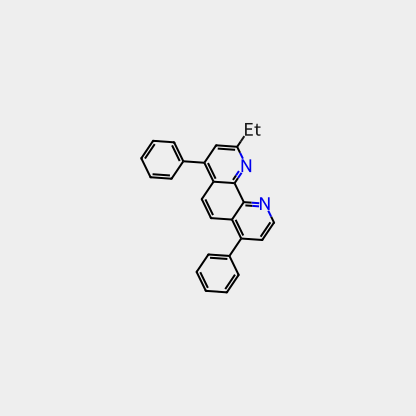 CCc1cc(-c2ccccc2)c2ccc3c(-c4ccccc4)ccnc3c2n1